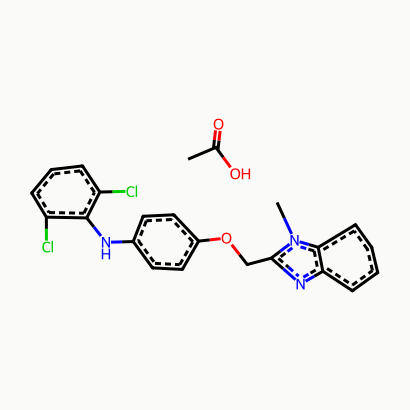 CC(=O)O.Cn1c(COc2ccc(Nc3c(Cl)cccc3Cl)cc2)nc2ccccc21